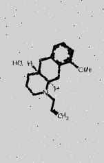 C=CCN1CCC[C@@H]2Cc3cccc(OC)c3C[C@H]21.Cl